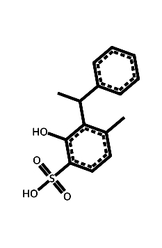 Cc1ccc(S(=O)(=O)O)c(O)c1C(C)c1ccccc1